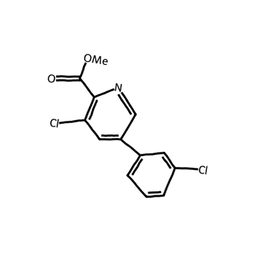 COC(=O)c1ncc(-c2cccc(Cl)c2)cc1Cl